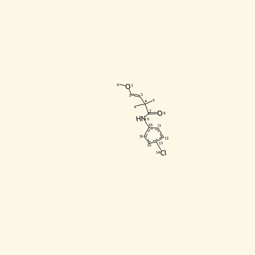 COC=CC(C)(C)C(=O)Nc1ccc(Cl)cc1